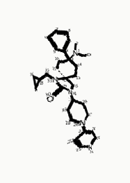 CN(C)[C@]1(c2ccccc2)CC[C@]2(CC1)CN(C1CCN(c3ccncc3)CC1)C(=O)N2CC1CC1